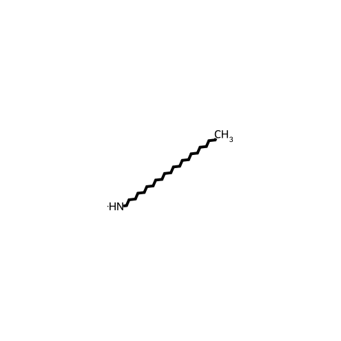 CCCCCCCCCCCCCCCCCCCCCC[NH]